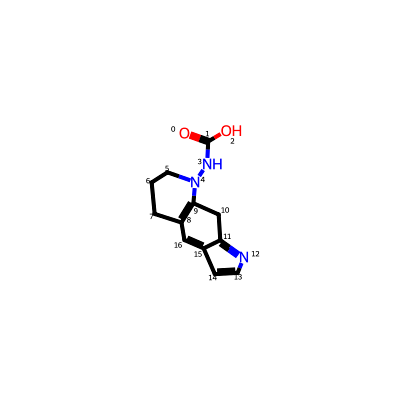 O=C(O)NN1CCCC2=C1CC1=NC=CC1=C2